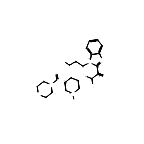 CC(C)C(N[C@H]1C[C@@H](C(=O)N2CCOCC2)CN(C(=O)O)C1)C(=O)c1nc2ccccc2n1CCCO